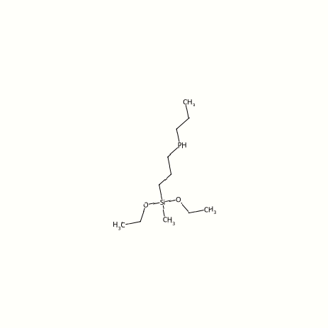 CCCPCCC[Si](C)(OCC)OCC